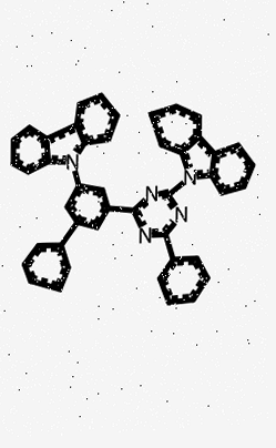 c1ccc(-c2cc(-c3nc(-c4ccccc4)nc(-n4c5ccccc5c5ccccc54)n3)cc(-n3c4ccccc4c4ccccc43)c2)cc1